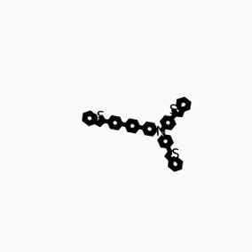 c1ccc2sc(-c3ccc(-c4ccc(-c5ccc(N(c6ccc(-c7cc8ccccc8s7)cc6)c6ccc(-c7cc8ccccc8s7)cc6)cc5)cc4)cc3)cc2c1